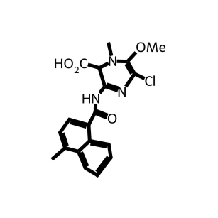 COC1=C(Cl)N=C(NC(=O)c2ccc(C)c3ccccc23)C(C(=O)O)N1C